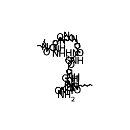 CCCCCCC(=O)N[C@H](C(=O)N[C@@H](CCCNC(N)=O)C(=O)Nc1ccc(COC(=O)NCCNC(=O)c2ccc(CN3CCc4ncc(NC(=O)c5ccc6c(c5)N=C(N)CC(C(=O)N(CCC)CCC)=C6)cc4C3)cc2)cc1)C(C)C